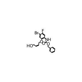 O=C(Nc1cc(F)c(Br)cc1OC/C=C\CO)OCc1ccccc1